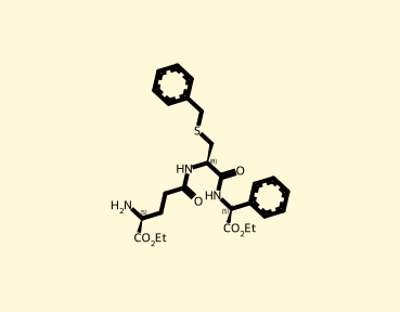 CCOC(=O)[C@@H](NC(=O)[C@H](CSCc1ccccc1)NC(=O)CC[C@H](N)C(=O)OCC)c1ccccc1